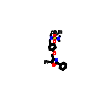 CCOC(=O)CN(Cc1ccc(OCc2nc(-c3ccccc3)oc2C(C)C)cc1)S(=O)(=O)N(C)C